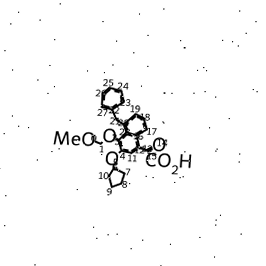 COCOc1c(OC2CCCC2)cc(C(=O)C(=O)O)c2cccc(Cc3ccccc3)c12